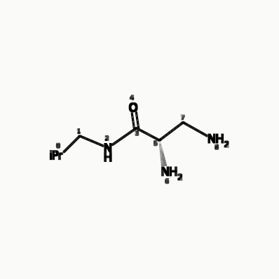 CC(C)CNC(=O)[C@@H](N)CN